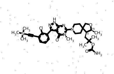 C[C@@H]1OCC2(CCN(c3nc4[nH]nc(-c5cccc(C#C[Si](C)(C)C)c5Cl)c4c(=O)n3C)CC2)[C@@H]1CC(C)(C)OC(N)=O